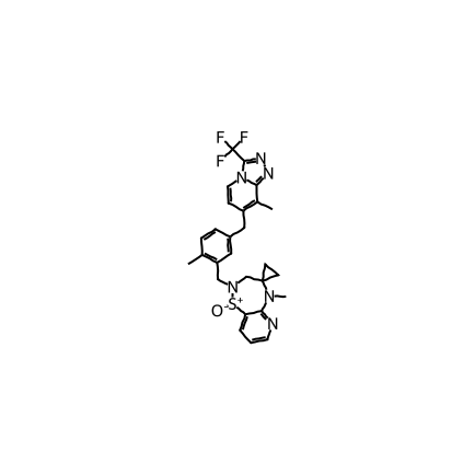 Cc1ccc(Cc2ccn3c(C(F)(F)F)nnc3c2C)cc1CN1CC2(CC2)N(C)c2ncccc2[S+]1[O-]